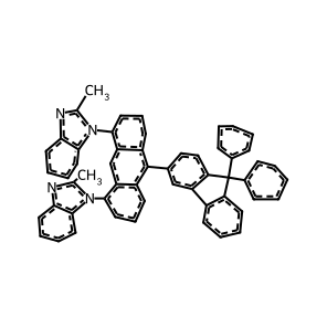 Cc1nc2ccccc2n1-c1cccc2c(-c3ccc4c(c3)-c3ccccc3C4(c3ccccc3)c3ccccc3)c3cccc(-n4c(C)nc5ccccc54)c3cc12